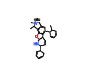 CCCC[N+]1(C)Cc2cc(C3C=CC=CC3C)c3c(c2C1C)OC1NC(C2C=CC=CC2)C=CC31